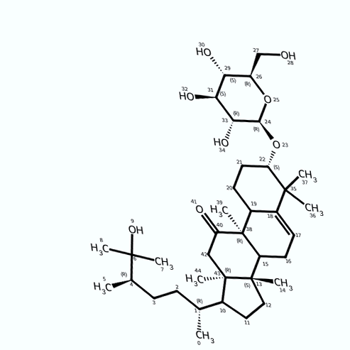 C[C@H](CC[C@@H](C)C(C)(C)O)C1CC[C@@]2(C)C3CC=C4C(CC[C@H](O[C@@H]5O[C@H](CO)[C@@H](O)[C@H](O)[C@H]5O)C4(C)C)[C@]3(C)C(=O)C[C@]12C